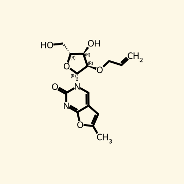 C=CCO[C@@H]1[C@H](O)[C@@H](CO)O[C@H]1n1cc2cc(C)oc2nc1=O